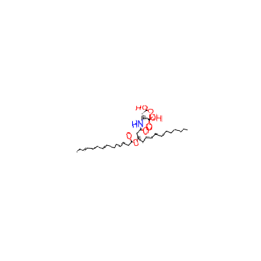 CCCCCCCCCCCCCC(=O)O[C@H](CCCCCCCCCCC)CC(=O)N[C@H](CC(=O)O)C(=O)O